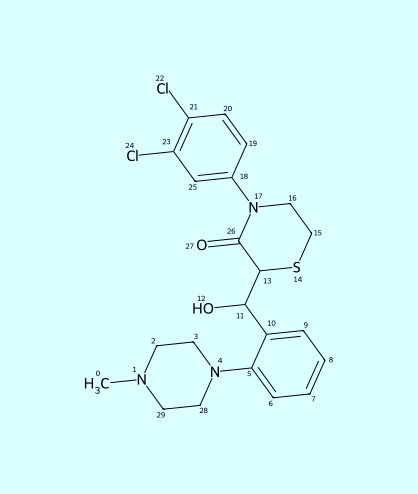 CN1CCN(c2ccccc2C(O)C2SCCN(c3ccc(Cl)c(Cl)c3)C2=O)CC1